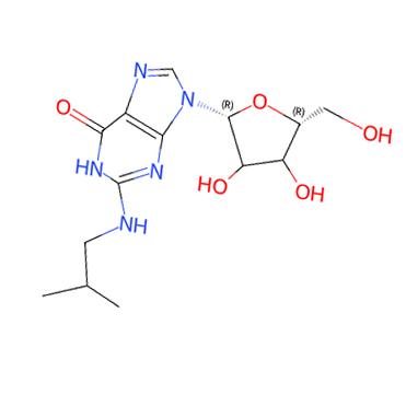 CC(C)CNc1nc2c(ncn2[C@@H]2O[C@H](CO)C(O)C2O)c(=O)[nH]1